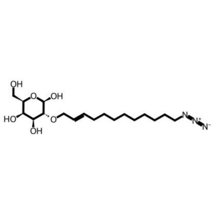 [N-]=[N+]=NCCCCCCCCC/C=C/CO[C@@H]1[C@@H](O)[C@@H](O)[C@@H](CO)O[C@H]1O